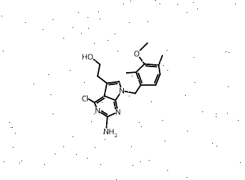 COc1c(C)ccc(Cn2cc(CCO)c3c(Cl)nc(N)nc32)c1C